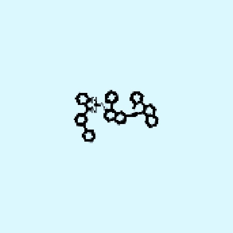 Cc1ccccc1-c1ccc2ccccc2c1C#Cc1ccc2ccc3c(c2c1)c1ccccc1n3-c1nc(-c2cccc(-c3ccccc3)c2)c2ccccc2n1